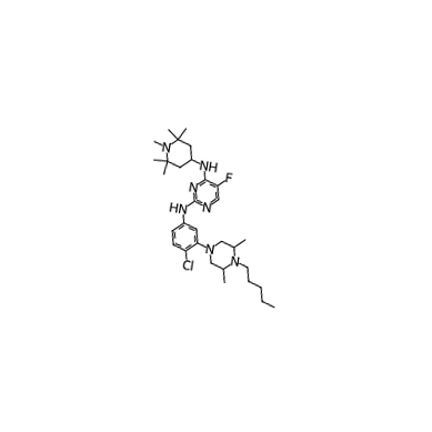 CCCCCN1C(C)CN(c2cc(Nc3ncc(F)c(NC4CC(C)(C)N(C)C(C)(C)C4)n3)ccc2Cl)CC1C